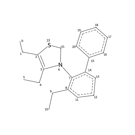 CCC1=C(CC)N(c2c(CC)cccc2-c2ccccc2)[CH]S1